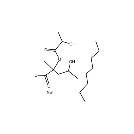 CC(O)CC(C)(OC(=O)C(C)O)C(=O)[O-].CCCCCCCC.[Na+]